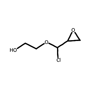 OCCOC(Cl)C1CO1